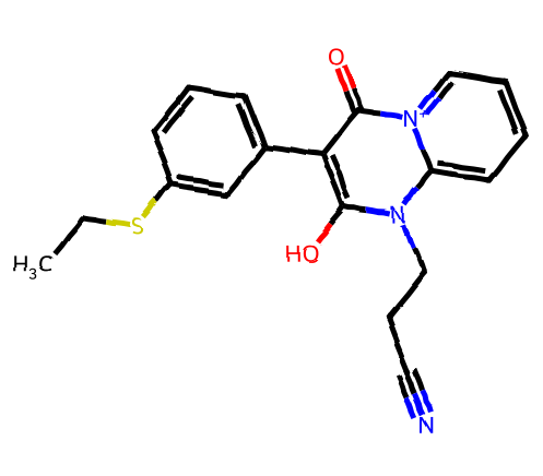 CCSc1cccc(-c2c(O)n(CCC#N)c3cccc[n+]3c2=O)c1